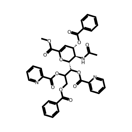 COC(=O)C1=C[C@H](OC(=O)c2ccccc2)[C@@H](NC(C)=O)[C@H](C(OC(=O)c2ccccn2)C(COC(=O)c2ccccc2)OC(=O)c2ccccn2)O1